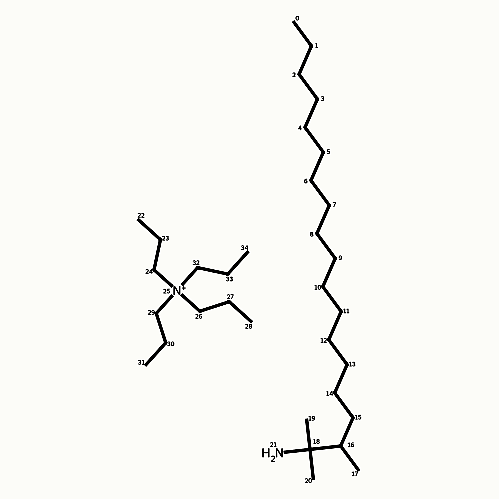 CCCCCCCCCCCCCCCCC(C)C(C)(C)N.CCC[N+](CCC)(CCC)CCC